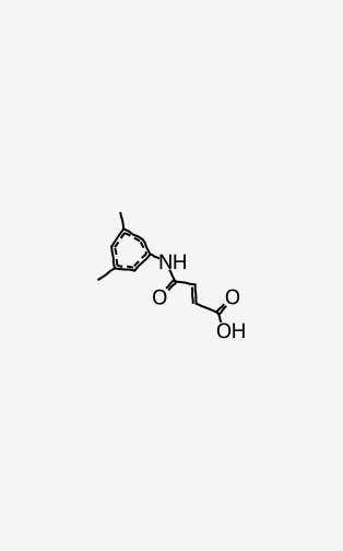 Cc1cc(C)cc(NC(=O)C=CC(=O)O)c1